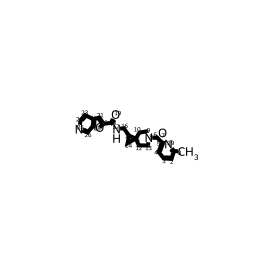 Cc1cccc(C(=O)N2CCC3(CC2)CC3CNC(=O)c2cc3ccncc3o2)n1